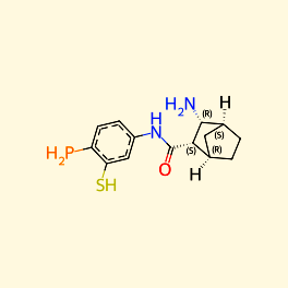 N[C@@H]1[C@H]2CC[C@H](C2)[C@@H]1C(=O)Nc1ccc(P)c(S)c1